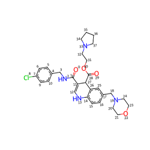 O=C(NCc1ccc(Cl)cc1)C1=CNc2ccc(CN3CCOCC3)cc2C1C(=O)OCCN1CCCC1